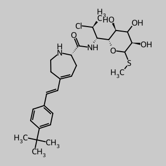 CSC1O[C@H]([C@H](NC(=O)[C@@H]2CC=C(/C=C/c3ccc(C(C)(C)C)cc3)CCN2)[C@H](C)Cl)[C@@H](O)C(O)[C@H]1O